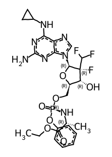 CCOC(=O)[C@@H](C)N[P@@](=O)(OC[C@H]1O[C@@H](n2cnc3c(NC4CC4)nc(N)nc32)[C@@](F)(C(F)F)[C@@H]1O)Oc1ccccc1